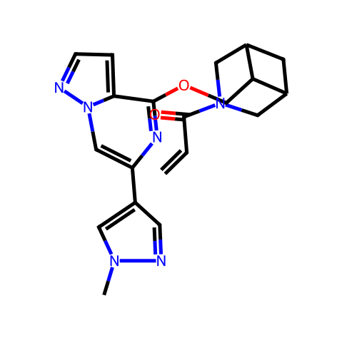 C=CC(=O)N1CC2CC(C1)C2COc1nc(-c2cnn(C)c2)cn2nccc12